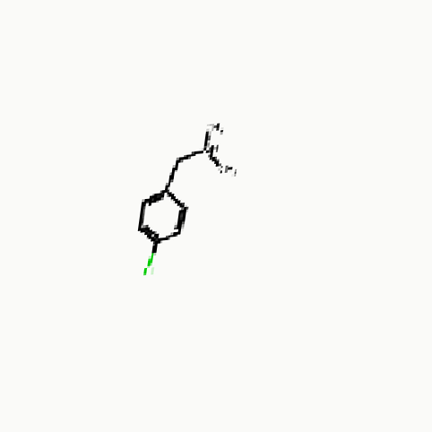 C[SiH](C)Cc1ccc(Cl)cc1